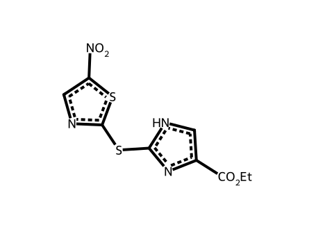 CCOC(=O)c1c[nH]c(Sc2ncc([N+](=O)[O-])s2)n1